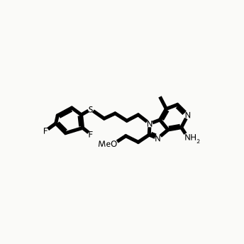 COCCc1nc2c(N)ncc(C)c2n1CCCCSc1ccc(F)cc1F